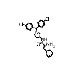 N[C@@H](Cc1ccccc1)C(=O)NC1CCN(C(c2ccc(Cl)cc2)c2ccc(Cl)cc2)C1